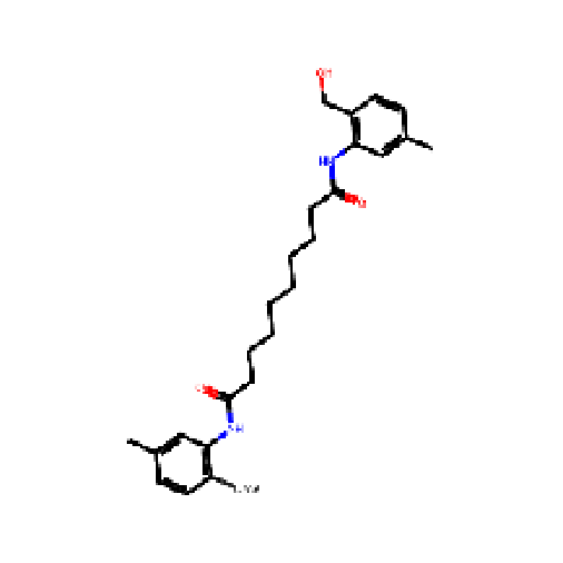 COc1ccc(C)cc1NC(=O)CCCCCCCCC(=O)Nc1cc(C)ccc1CO